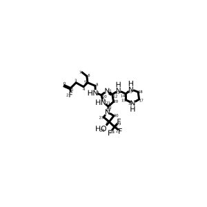 C=C(F)CCC(CC)CNC1N=C(NC2CNCCN2)C[C@H](N2CC(O)(C(F)(F)F)C2)N1